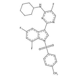 Cc1ccc(S(=O)(=O)n2cc(-c3ncc(F)c(NC4CCCCC4)n3)c3cc(F)cc(F)c32)cc1